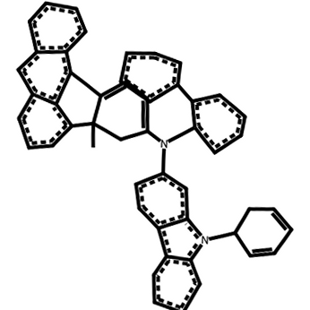 CC12CC(N(c3ccc4c5ccccc5n(C5C=CC=CC5)c4c3)c3ccccc3-c3ccccc3)=CC=C1c1c3ccccc3cc3cccc2c13